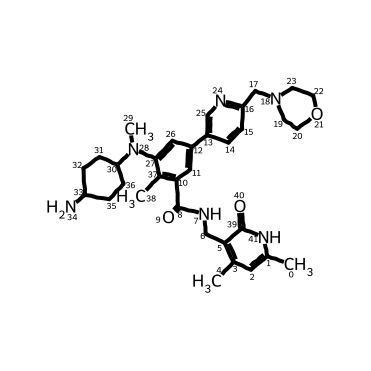 Cc1cc(C)c(CNC(=O)c2cc(-c3ccc(CN4CCOCC4)nc3)cc(N(C)C3CCC(N)CC3)c2C)c(=O)[nH]1